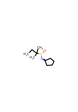 CCC(C)(C)[S+]([O-])N=C1CCCC1